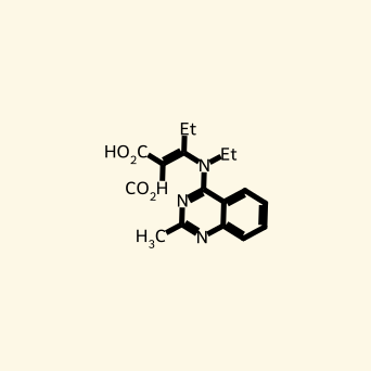 CCC(=C(C(=O)O)C(=O)O)N(CC)c1nc(C)nc2ccccc12